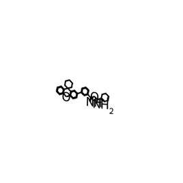 N=C(OC(N)C1=CC=CCC1)c1cccc(-c2ccc3c(c2)C2(CCCCC2)c2ccccc2O3)c1